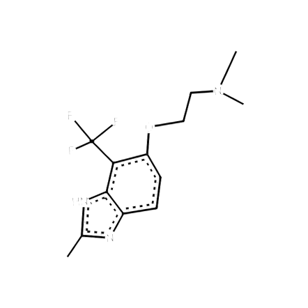 Cc1nc2ccc(OCCN(C)C)c(C(F)(F)F)c2[nH]1